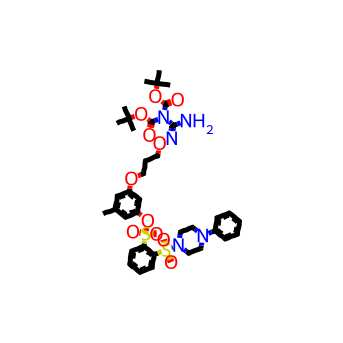 Cc1cc(OCCCON=C(N)N(C(=O)OC(C)(C)C)C(=O)OC(C)(C)C)cc(OS(=O)(=O)c2ccccc2S(=O)(=O)N2CCN(c3ccccc3)CC2)c1